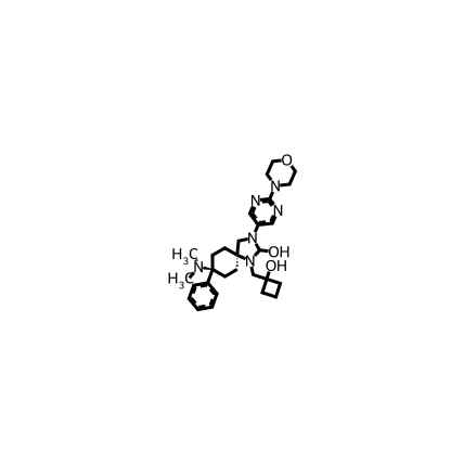 CN(C)[C@]1(c2ccccc2)CC[C@]2(CC1)CN(c1cnc(N3CCOCC3)nc1)C(O)N2CC1(O)CCC1